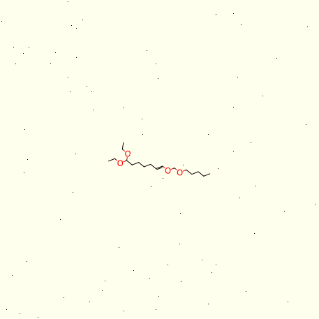 CCCCCOCOC=CCCCCC(OCC)OCC